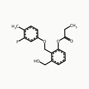 CCC(=O)Oc1cccc(CO)c1COc1ccc(C)c(F)c1